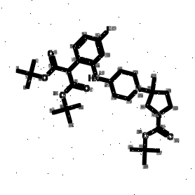 CC(C)(C)OC(=O)C(C(=O)OC(C)(C)C)c1ccc(F)cc1NC1CCN(C2(C)CCN(C(=O)OC(C)(C)C)C2)CC1